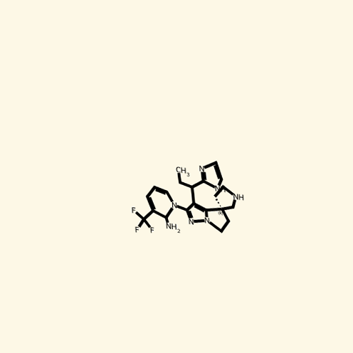 CCC(c1ncc[nH]1)c1c(N2C=CC=C(C(F)(F)F)C2N)nn2c1[C@]1(CCNC1)CC2